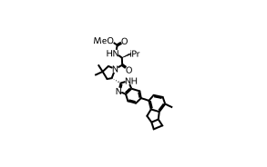 COC(=O)N[C@H](C(=O)N1CC(C)(C)C[C@H]1c1nc2ccc(-c3ccc(C)c4c3CC3CCC43)cc2[nH]1)C(C)C